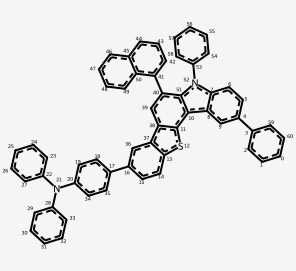 c1ccc(-c2ccc3c(c2)c2c4sc5ccc(-c6ccc(N(c7ccccc7)c7ccccc7)cc6)cc5c4cc(-c4cccc5ccccc45)c2n3-c2ccccc2)cc1